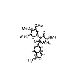 CN[C@@H](C)C(=O)N(c1cc(OC)c(OC)c(OC)c1)S(=O)(=O)c1ccc2c(ccn2C)c1